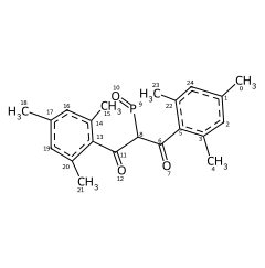 Cc1cc(C)c(C(=O)C(P=O)C(=O)c2c(C)cc(C)cc2C)c(C)c1